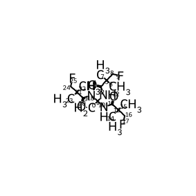 [CH2]C(NC(=O)C(C)(C)CF)(NC(=O)C(C)(C)CF)NC(=O)C(C)(C)CF